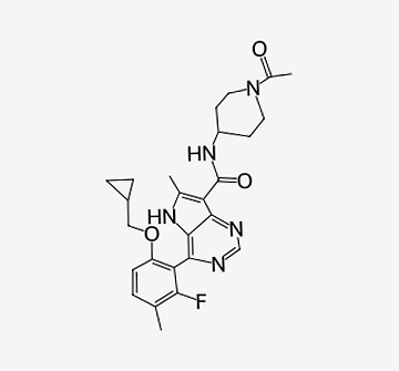 CC(=O)N1CCC(NC(=O)c2c(C)[nH]c3c(-c4c(OCC5CC5)ccc(C)c4F)ncnc23)CC1